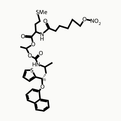 CSCCC(NC(=O)CCCCCO[N+](=O)[O-])C(=O)OC(C)OC(=O)NC(C)C[C@H](Oc1cccc2ccccc12)c1cccs1